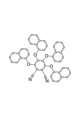 N#Cc1c(C#N)c(Oc2cccc3ccccc23)c(Oc2cccc3ccccc23)c(Oc2cccc3ccccc23)c1Oc1cccc2ccccc12